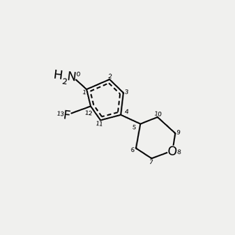 Nc1ccc(C2CCOCC2)cc1F